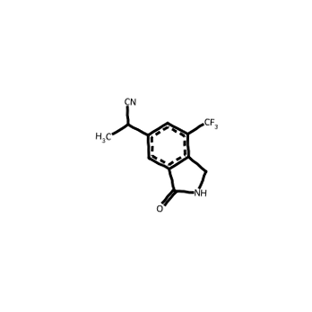 CC(C#N)c1cc2c(c(C(F)(F)F)c1)CNC2=O